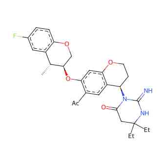 CCC1(CC)CC(=O)N([C@@H]2CCOc3cc(O[C@@H]4COc5ccc(F)cc5[C@H]4C)c(C(C)=O)cc32)C(=N)N1